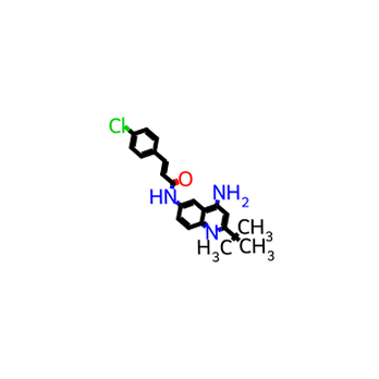 CC(C)(C)c1cc(N)c2cc(NC(=O)C=Cc3ccc(Cl)cc3)ccc2n1